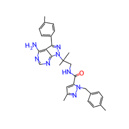 Cc1ccc(Cn2nc(C)cc2C(=O)NCC(C)(C)n2nc(-c3ccc(C)cc3)c3c(N)ncnc32)cc1